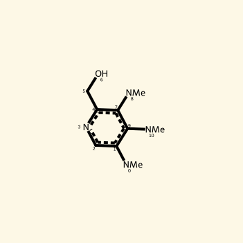 CNc1cnc(CO)c(NC)c1NC